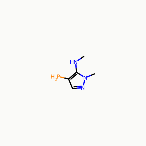 CNc1c(P)cnn1C